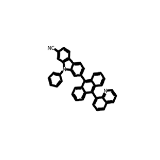 N#Cc1ccc2c3ccc(-c4c5ccccc5c(-c5cccc6cccnc56)c5ccccc45)cc3n(-c3ccccc3)c2c1